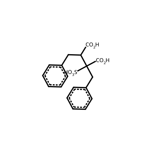 O=C(O)C(Cc1ccccc1)C(Cc1ccccc1)(C(=O)O)S(=O)(=O)O